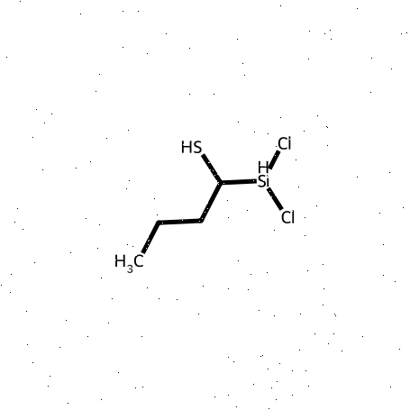 CCCC(S)[SiH](Cl)Cl